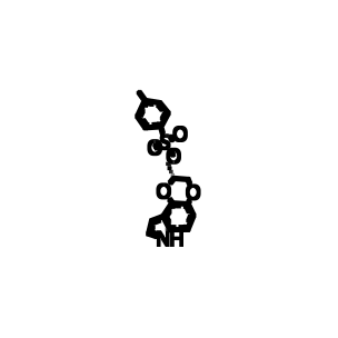 Cc1ccc(S(=O)(=O)OC[C@@H]2COc3ccc4[nH]ccc4c3O2)cc1